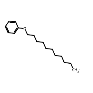 [CH2]CCCCCCCCCCOc1cc[c]cc1